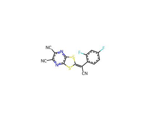 N#CC(=C1Sc2nc(C#N)c(C#N)nc2S1)c1ccc(F)cc1F